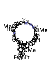 CCCP(=O)(OCC)O[C@@H]1CCC(C[C@H]2C3CCCN4C(=O)C(=O)C5(O)O[C@@H](CCC5C)C[C@H](OC)/C(C)=C/C=C/C=C/[C@@H](C)CC(C)C(=O)[C@H](OC)C(O)/C(C)=C/[C@@H](C)C(=O)C[C@@H]2OC(=O)C34)CC1OC